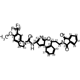 COc1cc2c(cc1C(F)(F)F)N(C(=O)Nc1ccc(OC(CCN3C(=O)c4ccccc4C3=O)c3ccccc3)nc1)CC2